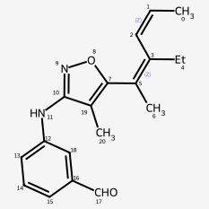 C/C=C\C(CC)=C(\C)c1onc(Nc2cccc(C=O)c2)c1C